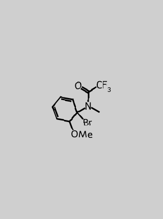 COC1C=CC=CC1(Br)N(C)C(=O)C(F)(F)F